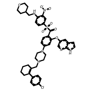 O=C(c1ccc(N2CCN(CC3=C(c4ccc(Cl)cc4)CCCC3)CC2)cc1Oc1cnc2[nH]ccc2c1)S(=O)(=O)c1ccc(NCC2CCOCC2)c([N+](=O)[O-])c1